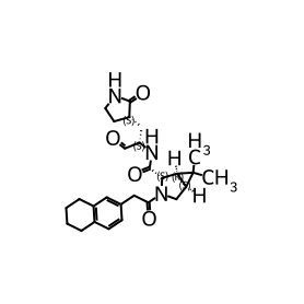 CC1(C)[C@@H]2[C@@H](C(=O)N[C@H](C=O)C[C@@H]3CCNC3=O)N(C(=O)Cc3ccc4c(c3)CCCC4)C[C@@H]21